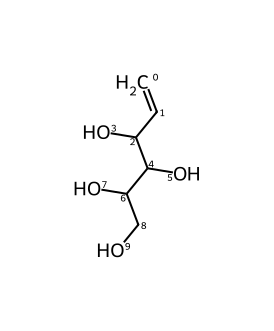 C=CC(O)C(O)C(O)CO